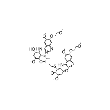 CCSC1=C(Nc2ncnc3cc(OCCOC)c(OC)cc23)C(=O)C=C(OC)C1=O.CCSc1c(O)c(OC)cc(O)c1Nc1ncnc2cc(OCCOC)c(OC)cc12